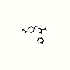 CCC(F)(F)C(=O)N1CCC(CC#N)(n2cc(C(N)=O)c(Nc3ccnc(F)c3)n2)CC1